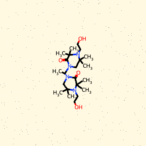 CC(N1CC(C)(C)N(CCO)C(C)(C)C1=O)N1CC(C)(C)N(CCO)C(C)(C)C1=O